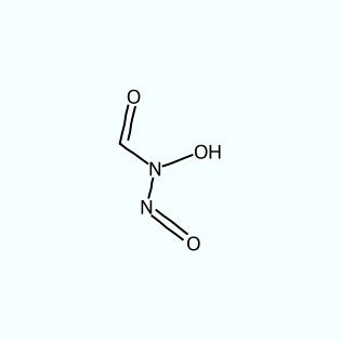 O=CN(O)N=O